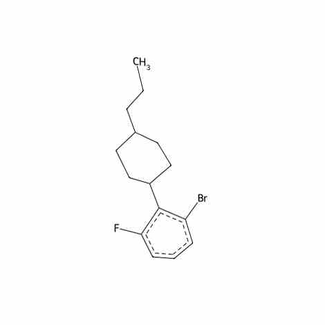 CCCC1CCC(c2c(F)cccc2Br)CC1